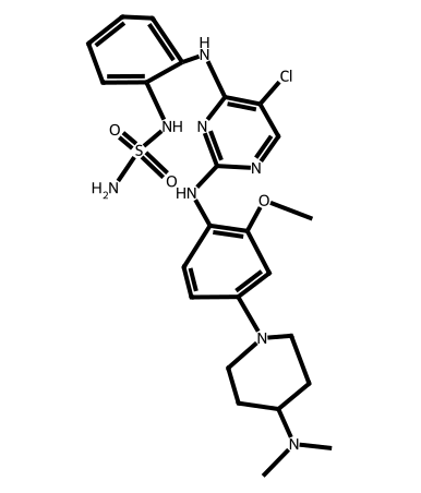 COc1cc(N2CCC(N(C)C)CC2)ccc1Nc1ncc(Cl)c(Nc2ccccc2NS(N)(=O)=O)n1